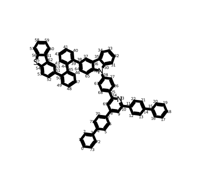 c1ccc(-c2ccc(-c3cc(-c4ccc(-c5ccccc5)cc4)nc(-c4ccc(-n5c6ccccc6c6cc(-c7ccccc7-c7ccccc7-c7ccc8sc9ccccc9c8c7)ccc65)cc4)c3)cc2)cc1